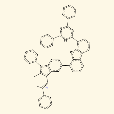 C/C(=C\c1c(C)n(-c2ccccc2)c2ccc(-c3cccc4c3sc3c(-c5nc(-c6ccccc6)nc(-c6ccccc6)n5)cccc34)cc12)c1ccccc1